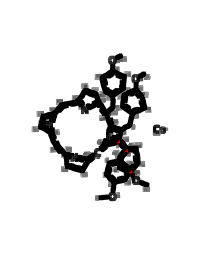 COc1ccc(Cc2c(Cc3ccc(OC)cc3)c3c(Cc4ccc(OC)cc4)c4nc(cc5ccc(cc6nc(cc2n3Cc2ccc(OC)cc2)C=C6)[nH]5)C=C4)cc1.[Co]